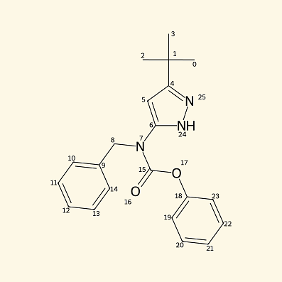 CC(C)(C)c1cc(N(Cc2ccccc2)C(=O)Oc2ccccc2)[nH]n1